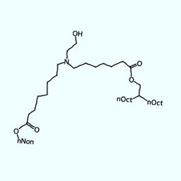 CCCCCCCCCOC(=O)CCCCCCCN(CCO)CCCCCCC(=O)OCC(CCCCCCCC)CCCCCCCC